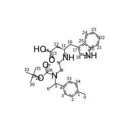 Cc1ccc(C(C)N(CCN[C@@H](CC(=O)O)Cc2c[nH]c3ccccc23)C(=O)OC(C)(C)C)cc1